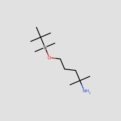 CC(C)(N)CCCO[Si](C)(C)C(C)(C)C